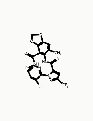 CCNC(=O)c1c(NC(=O)c2cc(C(F)(F)F)nn2-c2ncccc2Cl)c(C)cc2c1OCO2